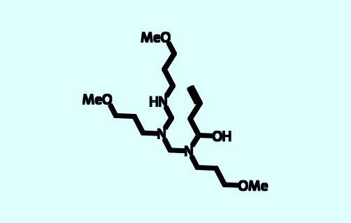 C=CCC(O)N(CCCOC)CN(CCCOC)CNCCCOC